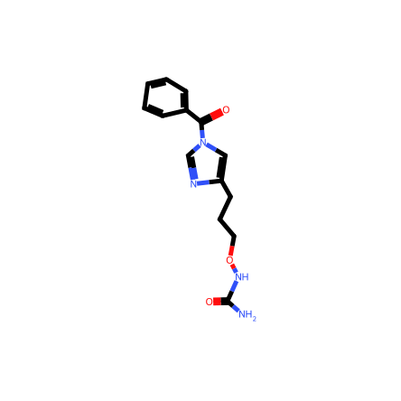 NC(=O)NOCCCc1cn(C(=O)c2ccccc2)cn1